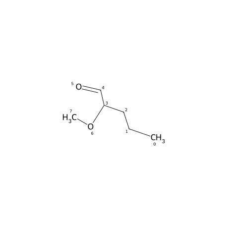 CCCC(C=O)OC